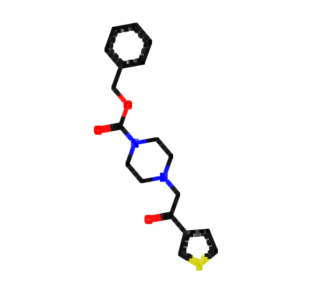 O=C(CN1CCN(C(=O)OCc2ccccc2)CC1)c1ccsc1